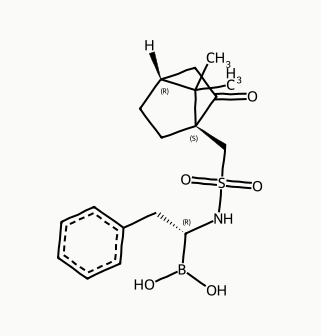 CC1(C)[C@@H]2CC[C@@]1(CS(=O)(=O)N[C@@H](Cc1ccccc1)B(O)O)C(=O)C2